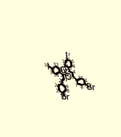 O=S(=O)(C(C=Cc1ccc(Br)cc1)c1ccc(I)cc1)C(C=Cc1ccc(Br)cc1)c1ccc(I)cc1